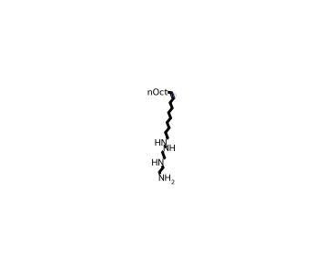 CCCCCCCC/C=C\CCCCCCCCNNCCNCCN